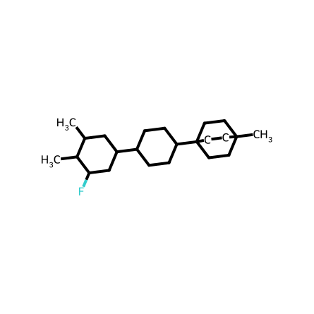 CC1CC(C2CCC(C34CCC(C)(CC3)CC4)CC2)CC(F)C1C